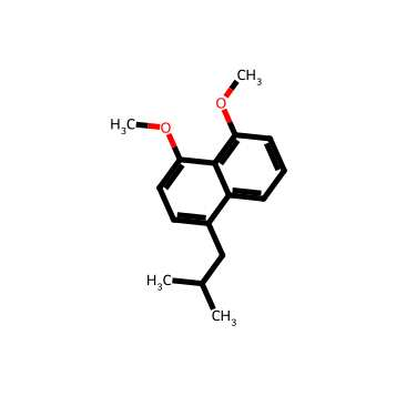 COc1cccc2c(CC(C)C)ccc(OC)c12